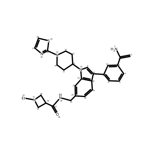 C=C(N)c1cccc(-c2cn(C3CCN(c4nccs4)CC3)c3cc(CNC(=O)C4CN(CC)C4)ccc23)c1